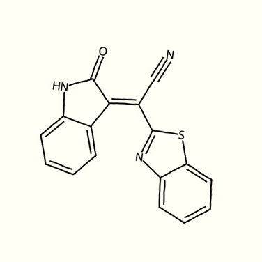 N#CC(=C1C(=O)Nc2ccccc21)c1nc2ccccc2s1